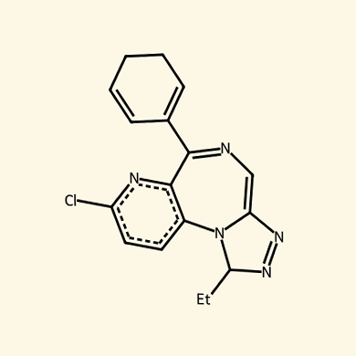 CCC1N=NC2=CN=C(C3=CCCC=C3)c3nc(Cl)ccc3N21